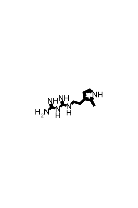 Cc1[nH]ccc1CCNC(=N)NC(=N)N